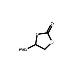 CSC1COC(=O)O1